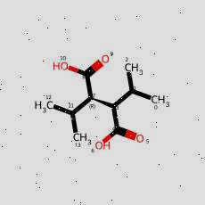 CC(C)C(C(=O)O)[C@H](C(=O)O)C(C)C